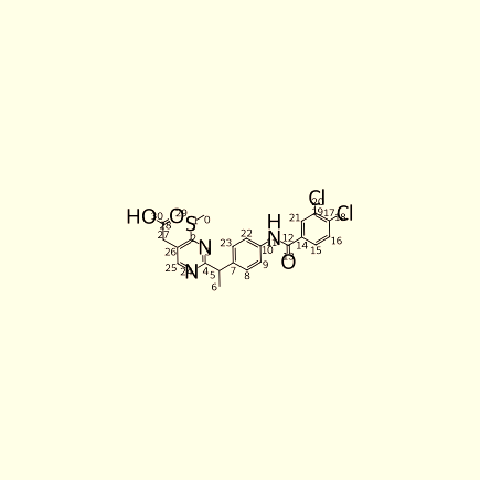 CSc1nc(C(C)c2ccc(NC(=O)c3ccc(Cl)c(Cl)c3)cc2)ncc1CC(=O)O